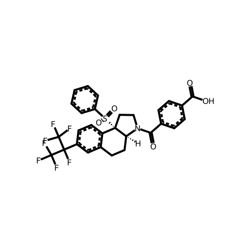 O=C(O)c1ccc(C(=O)N2CC[C@]3(S(=O)(=O)c4ccccc4)c4ccc(C(F)(C(F)(F)F)C(F)(F)F)cc4CC[C@H]23)cc1